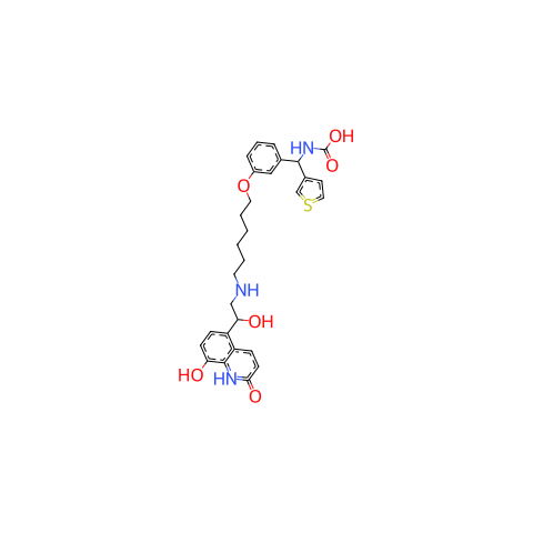 O=C(O)NC(c1ccsc1)c1cccc(OCCCCCCNCC(O)c2ccc(O)c3[nH]c(=O)ccc23)c1